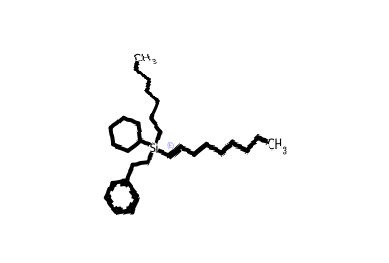 CCCCCCC/C=C/[Si](CCCCCCC)(CCc1ccccc1)C1CCCCC1